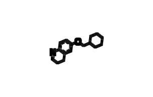 C1=Nc2ccc(OCC3CCCCC3)cc2CC1